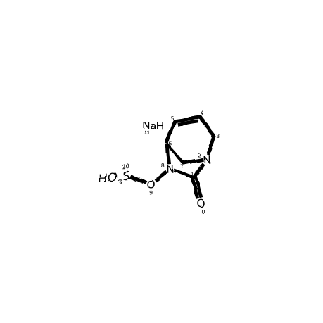 O=C1N2CC=CC(C2)N1OS(=O)(=O)O.[NaH]